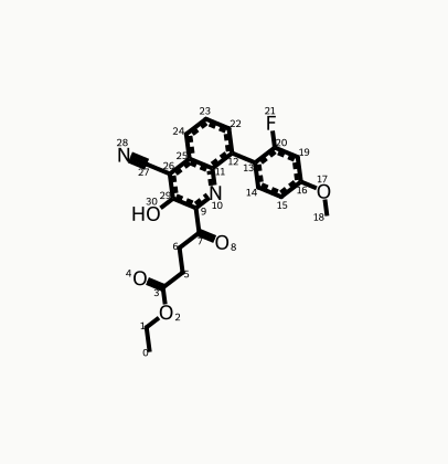 CCOC(=O)CCC(=O)c1nc2c(-c3ccc(OC)cc3F)cccc2c(C#N)c1O